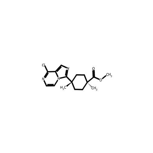 COC(=O)[C@]1(C)CC[C@@](C)(c2ncc3c(Cl)nccn32)CC1